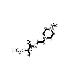 CC(=O)N1CCN(CCSC(=O)C(F)C(=O)O)CC1